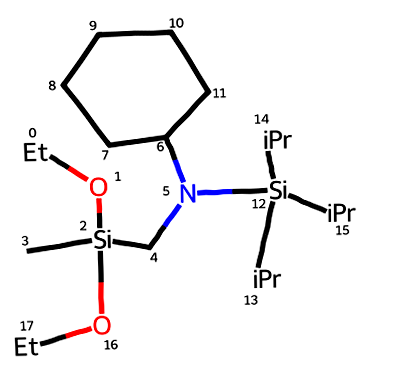 CCO[Si](C)(CN(C1CCCCC1)[Si](C(C)C)(C(C)C)C(C)C)OCC